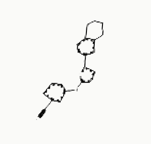 N#Cc1cccc(Nc2nc(-c3ccc4c(c3)CCCC4)cs2)c1